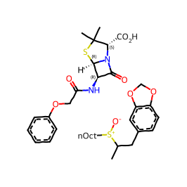 CC1(C)S[C@@H]2[C@H](NC(=O)COc3ccccc3)C(=O)N2[C@H]1C(=O)O.CCCCCCCC[S+]([O-])C(C)Cc1ccc2c(c1)OCO2